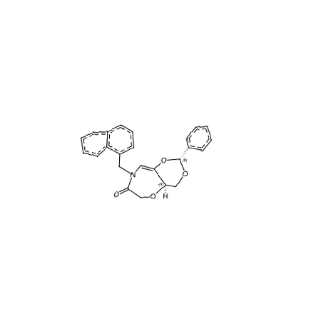 O=C1CO[C@@H]2CO[C@@H](c3ccccc3)OC2=CN1Cc1cccc2ccccc12